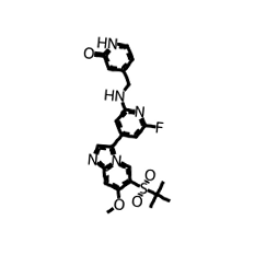 COc1cc2ncc(-c3cc(F)nc(NCc4cc[nH]c(=O)c4)c3)n2cc1S(=O)(=O)C(C)(C)C